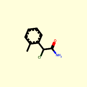 Cc1ccccc1C(Cl)C(N)=O